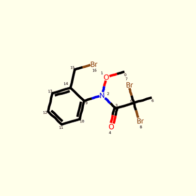 CON(C(=O)C(C)(Br)Br)c1ccccc1CBr